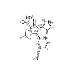 CC(C)C[C@@]1(C(=O)O)C[C@H](c2cc(C#N)ccn2)[C@H](c2cncs2)N1